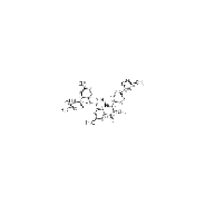 Cc1cc([C@@H](C)Nc2ccc(Cl)nc2C(=O)NS(C)(=O)=O)c2nc(-c3ccc(-c4nc(C)no4)nc3)n(C)c(=O)c2c1